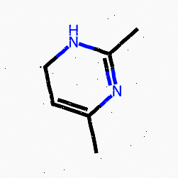 CC1=C[CH]NC(C)=N1